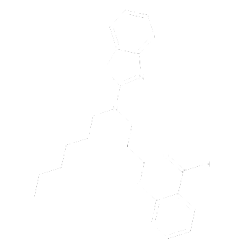 CCCCCCN(CCCSc1ccccc1C(=O)O)c1nc2ccccc2o1